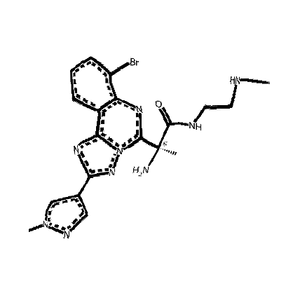 CNCCNC(=O)[C@@](C)(N)c1nc2c(Br)cccc2c2nc(-c3cnn(C)c3)nn12